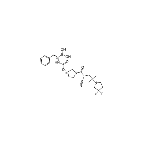 CC(C)(CC(C#N)C(=O)N1CC[C@H](OC(=O)N[C@@H](Cc2ccccc2)B(O)O)C1)N1CCC(F)(F)C1